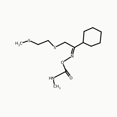 CNC(=O)ON=C(CSCCSC)C1CCCCC1